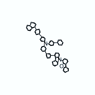 c1ccc(-c2ccc(N(c3ccc(-c4ccc(-c5cccc6ccccc56)cc4)cc3)c3cccc(-c4cccc(-c5cccc6c5c5ccccc5n6-c5cccc6c5oc5ccccc56)c4)c3)cc2)cc1